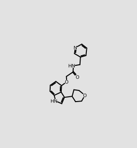 O=C(COc1cccc2[nH]cc(C3CCOCC3)c12)NCc1cccnc1